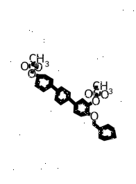 CS(=O)(=O)Oc1ccc(-c2ccc(-c3ccc(OCc4ccccc4)c(OS(C)(=O)=O)c3)cc2)cc1